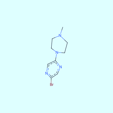 CN1CCN(c2cnc(Br)cn2)CC1